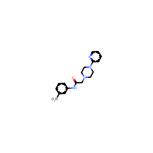 O=C(CN1CCN(c2ccccn2)CC1)Nc1cccc([N+](=O)[O-])c1